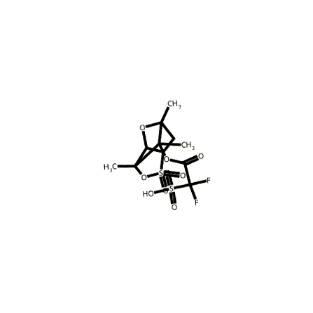 CC12CC3C(O1)C(C)(OS3(=O)=O)C2(C)OC(=O)C(F)(F)S(=O)(=O)O